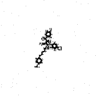 COc1ccc(CCCCCNc2c(C#N)c(C(=O)c3ccc(C)cc3)nn2-c2ccc(Cl)cc2)cc1